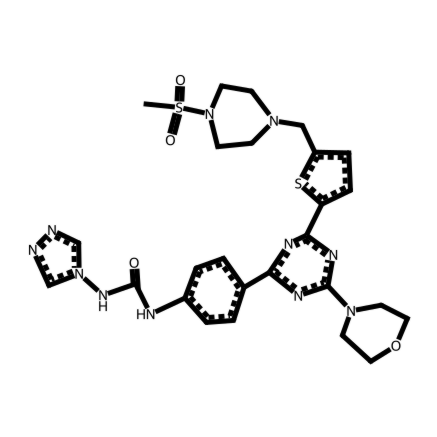 CS(=O)(=O)N1CCN(Cc2ccc(-c3nc(-c4ccc(NC(=O)Nn5cnnc5)cc4)nc(N4CCOCC4)n3)s2)CC1